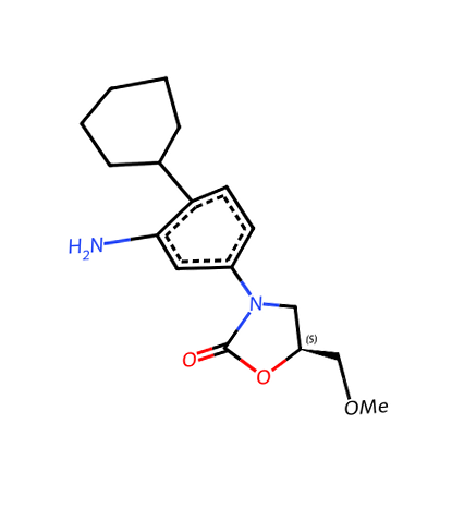 COC[C@@H]1CN(c2ccc(C3CCCCC3)c(N)c2)C(=O)O1